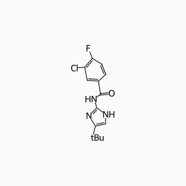 CC(C)(C)c1c[nH]c(NC(=O)c2ccc(F)c(Cl)c2)n1